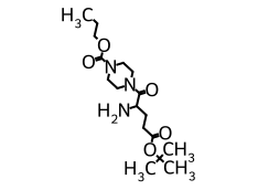 CCCOC(=O)N1CCN(C(=O)C(N)CCC(=O)OC(C)(C)C)CC1